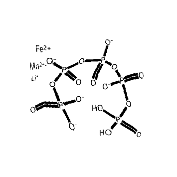 O=P([O-])([O-])OP(=O)([O-])OP(=O)([O-])OP(=O)([O-])OP(=O)(O)O.[Fe+2].[Li+].[Mn+2]